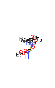 CCC(=O)COCC(=O)Nc1ccc(SCC(=O)NC(=O)N[C@@H]2CC[C@]3(CO3)[C@@H](C3(C)O[C@@H]3CC=C(C)C)[C@@H]2OC)cc1